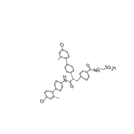 Cc1cc(Cl)ccc1-c1ccc(NC(=O)C(Cc2ccc(C(=O)NCCS(=O)(=O)O)cc2)c2ccc(-c3ccc(Cl)cc3C)cc2)cc1